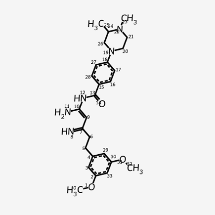 COc1cc(CCC(=N)/C=C(\N)NC(=O)c2ccc(N3CCN(C)C(C)C3)cc2)cc(OC)c1